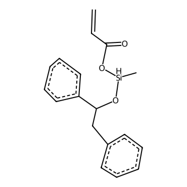 C=CC(=O)O[SiH](C)OC(Cc1ccccc1)c1ccccc1